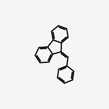 C(=C1c2ccccc2-c2ccccc21)c1ccccc1